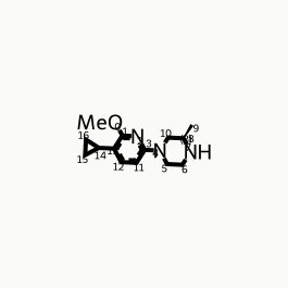 COc1nc(N2CCN[C@H](C)C2)ccc1C1CC1